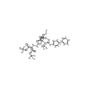 CCOP1(=O)CCN(Cc2ccc(-c3ccccc3)cc2)C(C(C)(C)C)C1(CCCCN(C(=O)OC(C)(C)C)C(=O)OC(C)(C)C)C(=O)O